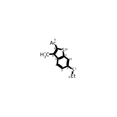 CCSc1ccc2c(C)c(C(C)=O)sc2c1